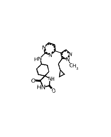 Cn1ncc(-c2ccnc(NC3CCC4(CC3)NC(=O)NC4=O)n2)c1CC1CC1